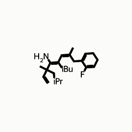 C=CC(C)(CC(C)C)/C(N)=C(/C=C(/C)CC1=CCCC=C1F)C(C)CC